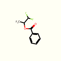 O=C(OC(C(F)F)C(F)(F)F)c1ccccc1